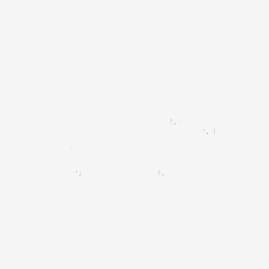 C/N=C\C(=C(\C)N/C=C(\C=N)C1CCOCC1)c1cc(C)c(C(=O)NC2CC2)c(OC(F)F)c1